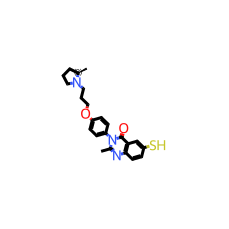 Cc1nc2ccc(S)cc2c(=O)n1-c1ccc(OCCCN2CCC[C@H]2C)cc1